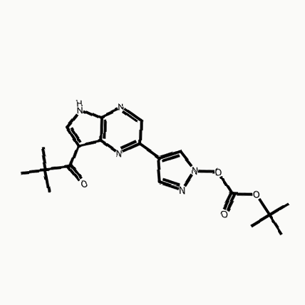 CC(C)(C)OC(=O)On1cc(-c2cnc3[nH]cc(C(=O)C(C)(C)C)c3n2)cn1